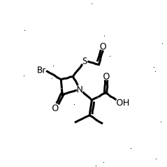 CC(C)=C(C(=O)O)N1C(=O)C(Br)C1SC=O